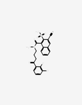 CN(CCCC(=O)c1cccc(Cl)c1Cl)C(=O)c1c(S(C)(=O)=O)c(C#N)cc2ccccc12